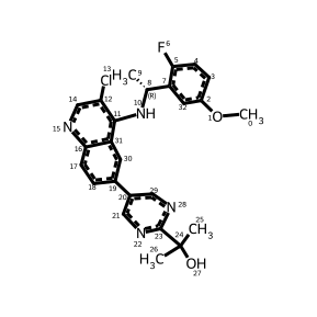 COc1ccc(F)c([C@@H](C)Nc2c(Cl)cnc3ccc(-c4cnc(C(C)(C)O)nc4)cc23)c1